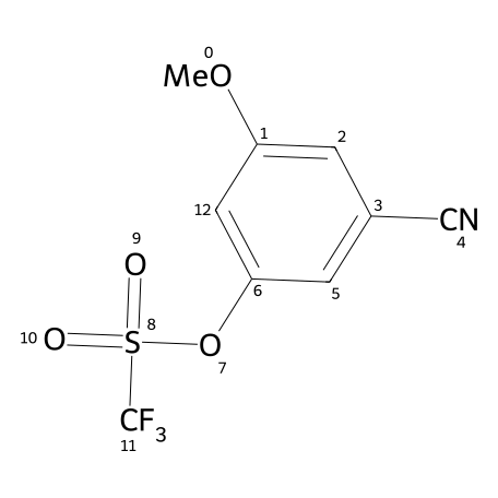 COc1cc(C#N)cc(OS(=O)(=O)C(F)(F)F)c1